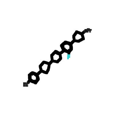 CCCC1CCC(c2ccc(C3=CCC(C4CCC(c5ccc(CC)cc5)CC4)CC3)c(F)c2)CC1